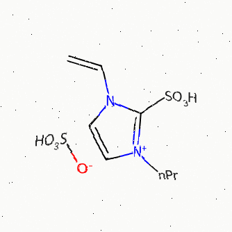 C=Cn1cc[n+](CCC)c1S(=O)(=O)O.O=S(=O)([O-])O